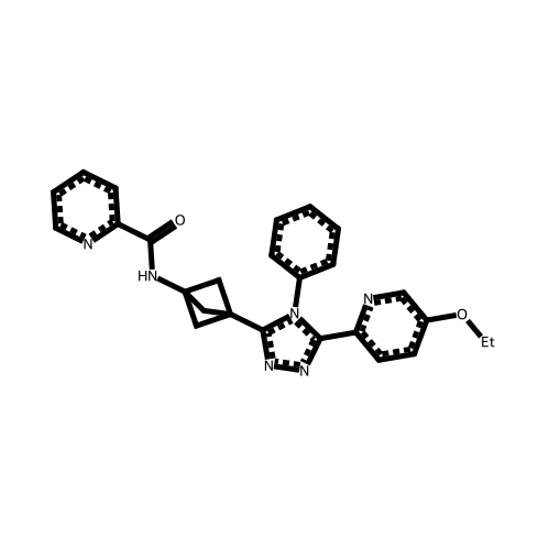 CCOc1ccc(-c2nnc(C34CC(NC(=O)c5ccccn5)(C3)C4)n2-c2ccccc2)nc1